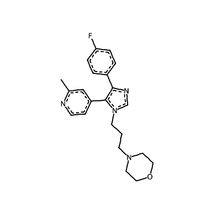 Cc1cc(-c2c(-c3ccc(F)cc3)ncn2CCCN2CCOCC2)ccn1